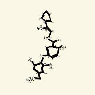 O=C(O)Cc1cc(Br)c(Oc2ccc(O)c(C(=O)NCC(O)c3ccccc3)c2)c(Br)c1